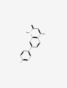 Cc1cc(=O)n(C)c2cc(-c3ccc(O)cc3)ccc12